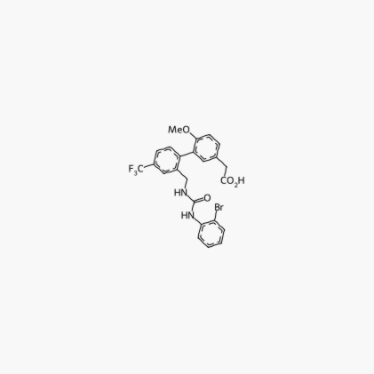 COc1ccc(CC(=O)O)cc1-c1ccc(C(F)(F)F)cc1CNC(=O)Nc1ccccc1Br